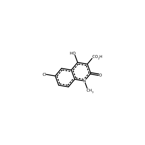 Cn1c(=O)c(C(=O)O)c(O)c2cc(Cl)ccc21